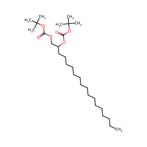 CCCCCCCCCCCCCCCCC(COC(=O)OC(C)(C)C)OC(=O)OC(C)(C)C